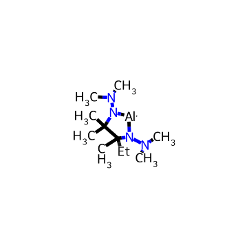 CCC1(C)[N](N(C)C)[Al][N](N(C)C)C1(C)C